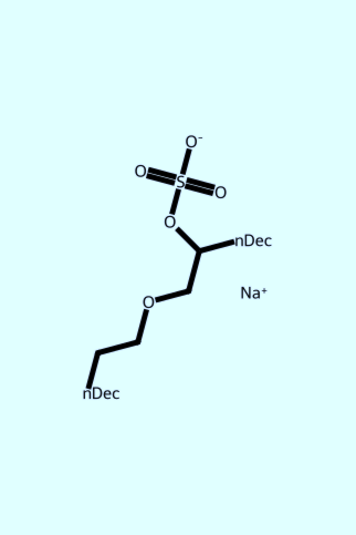 CCCCCCCCCCCCOCC(CCCCCCCCCC)OS(=O)(=O)[O-].[Na+]